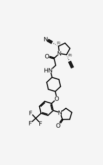 C#C[C@H]1CC[C@@H](C#N)N1C(=O)CNC1CCC(Oc2ccc(C(F)(F)F)cc2N2CCCC2=O)CC1